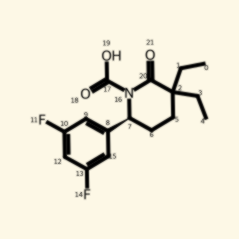 CCC1(CC)CC[C@@H](c2cc(F)cc(F)c2)N(C(=O)O)C1=O